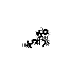 CCc1nonc1C(=O)N[C@H](C(=O)Nc1ccc(-c2c(C)n[nH]c2C)nc1)C1c2cc(F)ccc2OCC12CC2